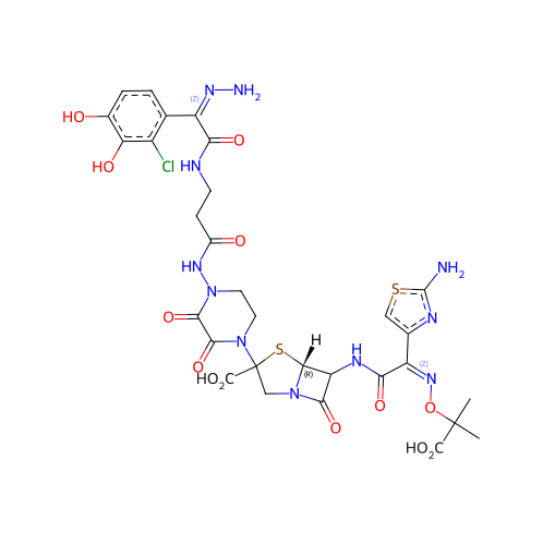 CC(C)(O/N=C(\C(=O)NC1C(=O)N2CC(C(=O)O)(N3CCN(NC(=O)CCNC(=O)/C(=N\N)c4ccc(O)c(O)c4Cl)C(=O)C3=O)S[C@H]12)c1csc(N)n1)C(=O)O